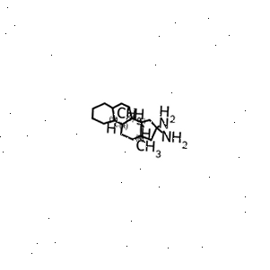 C[C@]12CC[C@@H]3[C@@H](CCC4CCCC[C@@]43C)[C@@H]1CC(N)(N)C2